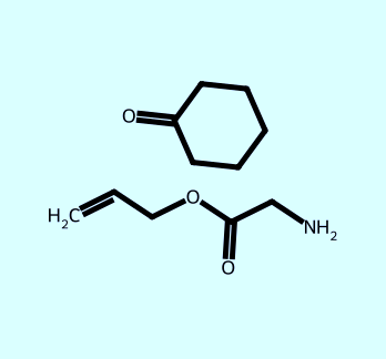 C=CCOC(=O)CN.O=C1CCCCC1